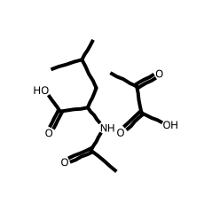 CC(=O)C(=O)O.CC(=O)NC(CC(C)C)C(=O)O